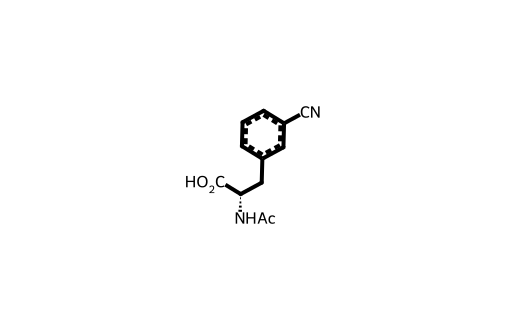 CC(=O)N[C@@H](Cc1cccc(C#N)c1)C(=O)O